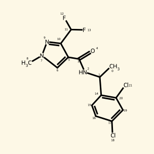 CC(NC(=O)c1cn(C)nc1C(F)F)c1ccc(Cl)cc1Cl